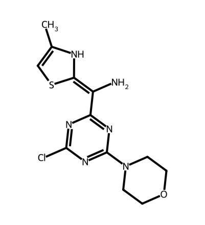 CC1=CS/C(=C(/N)c2nc(Cl)nc(N3CCOCC3)n2)N1